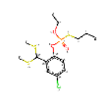 CCCSP(=O)(OCC)Oc1ccc(Cl)cc1C(SC)SC